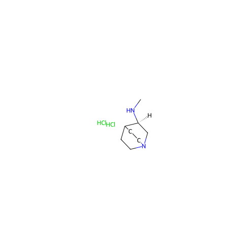 CN[C@H]1CN2CCC1CC2.Cl.Cl